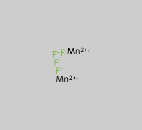 [F-].[F-].[F-].[F-].[Mn+2].[Mn+2]